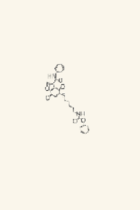 O=C(NCCCCCSC1=CC(=O)c2onc(C(=O)Nc3ccccc3)c2C1=O)Oc1ccccc1